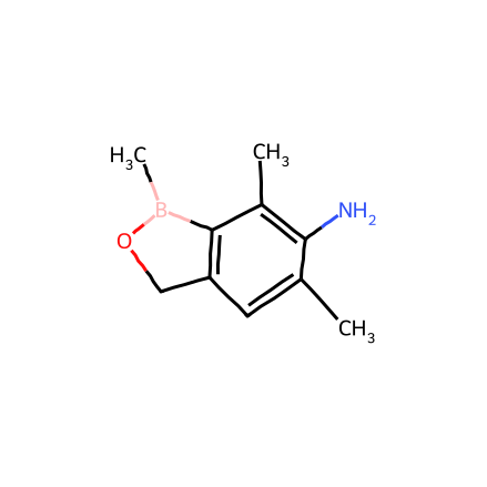 CB1OCc2cc(C)c(N)c(C)c21